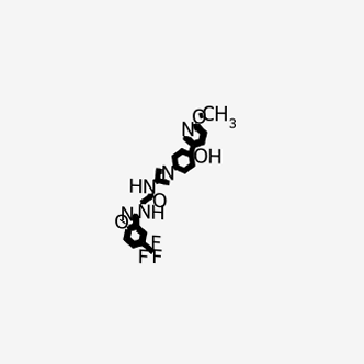 COc1ccc(C2(O)CCC(N3CC(NC(=O)CNc4noc5ccc(C(F)(F)F)cc45)C3)CC2)cn1